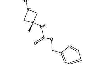 C[C@]1(NC(=O)OCc2ccccc2)C[S@@+]([O-])C1